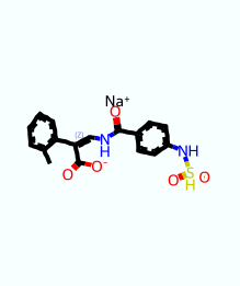 Cc1ccccc1/C(=C/NC(=O)c1ccc(N[SH](=O)=O)cc1)C(=O)[O-].[Na+]